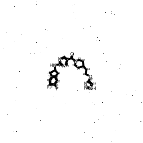 O=C(c1cnc(NC2Cc3cc(F)c(F)cc3C2)nc1)N1CCC(CCOc2c[nH]nn2)CC1